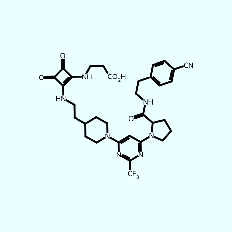 N#Cc1ccc(CCNC(=O)C2CCCN2c2cc(N3CCC(CCNc4c(NCCC(=O)O)c(=O)c4=O)CC3)nc(C(F)(F)F)n2)cc1